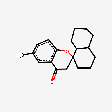 Bc1ccc2c(c1)C(=O)CC1(CCCC3CCCCC31)O2